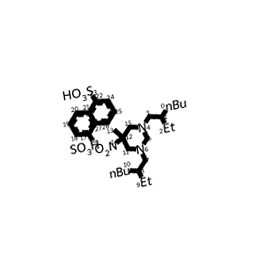 CCCCC(CC)CN1CN(CC(CC)CCCC)CC(C)([N+](=O)[O-])C1.O=S(=O)(O)c1cccc2c(S(=O)(=O)O)cccc12